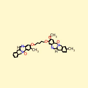 COc1cc2c(cc1OCCCCCOc1cc3c(cc1C)C(=O)N1Cc4ccccc4C[C@H]1C=N3)N=C[C@@H]1Cc3ccc(C)cc3CN1C2=O